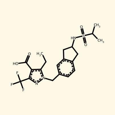 CCc1c(C(=O)O)c(C(F)(F)F)nn1Cc1ccc2c(c1)CC(NS(=O)(=O)C(C)C)C2